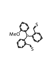 COc1ccccc1P(c1ccccc1C=S)c1ccccc1C=S